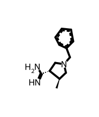 C[C@@H]1CN(Cc2ccccc2)C[C@H]1C(=N)N